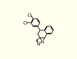 Clc1ccc(C2CC34C=NN3C4c3ccccc32)cc1Cl